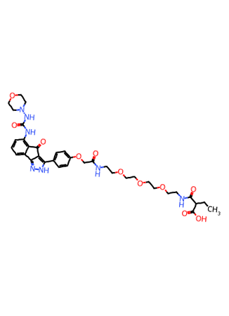 CCC(C(=O)O)C(=O)NCCOCCOCCOCCNC(=O)COc1ccc(-c2[nH]nc3c2C(=O)c2c(NC(=O)NN4CCOCC4)cccc2-3)cc1